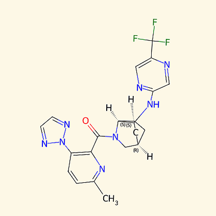 Cc1ccc(-n2nccn2)c(C(=O)N2C[C@@H]3CC[C@H]2[C@@H](Nc2cnc(C(F)(F)F)cn2)C3)n1